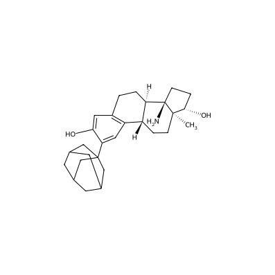 C[C@]12CC[C@@H]3c4cc(C56CC7CC(CC(C7)C5)C6)c(O)cc4CC[C@H]3[C@]1(N)CC[C@@H]2O